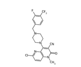 Cn1c(=O)c(C#N)c(N2CCN(Cc3ccc(C(F)(F)F)c(F)c3)CC2)c2nc(Cl)ccc21